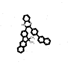 CC1(C)c2cc(C3=C(c4ccc(-c5ccc6ccccc6c5)cc4)N=C4C=CC=CC4N3)ccc2-c2cc3ccccc3cc21